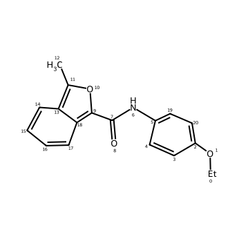 CCOc1ccc(NC(=O)c2oc(C)c3ccccc23)cc1